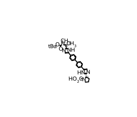 C[C@@H](c1ncc(-c2ccc(-c3ccc(-c4cnc([C@@H]5CCCN5C(=O)O)[nH]4)cc3)cc2)[nH]1)N(C)C(=O)OC(C)(C)C